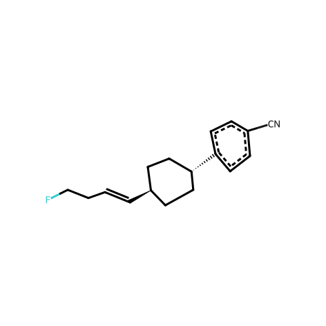 N#Cc1ccc([C@H]2CC[C@H](/C=C/CCF)CC2)cc1